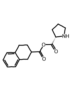 O=C(OC(=O)[C@@H]1CCCN1)C1CCc2ccccc2C1